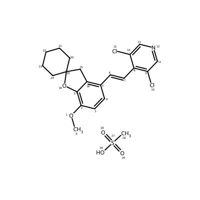 COc1ccc(/C=C/c2c(Cl)cncc2Cl)c2c1OC1(CCCCC1)C2.CS(=O)(=O)O